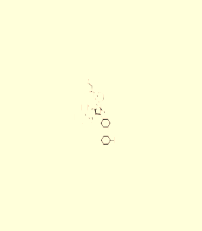 C/C=C/C(=O)N1CCCC(n2nc(-c3ccc(Oc4ccc(F)cc4F)cc3)c(C(N)=O)c2N)C1